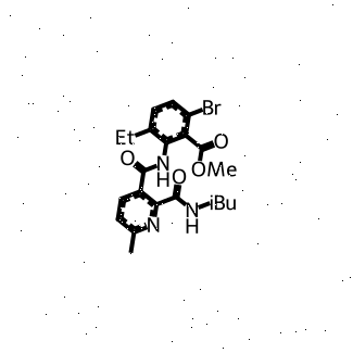 CCc1ccc(Br)c(C(=O)OC)c1NC(=O)c1ccc(C)nc1C(=O)NC(C)CC